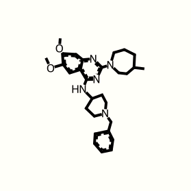 COc1cc2nc(N3CCCC(C)CC3)nc(NC3CCN(Cc4ccccc4)CC3)c2cc1OC